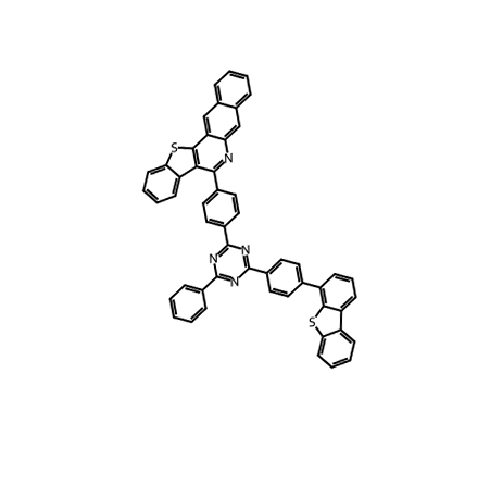 c1ccc(-c2nc(-c3ccc(-c4cccc5c4sc4ccccc45)cc3)nc(-c3ccc(-c4nc5cc6ccccc6cc5c5sc6ccccc6c45)cc3)n2)cc1